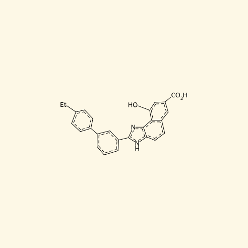 CCc1ccc(-c2cccc(-c3nc4c(ccc5cc(C(=O)O)cc(O)c54)[nH]3)c2)cc1